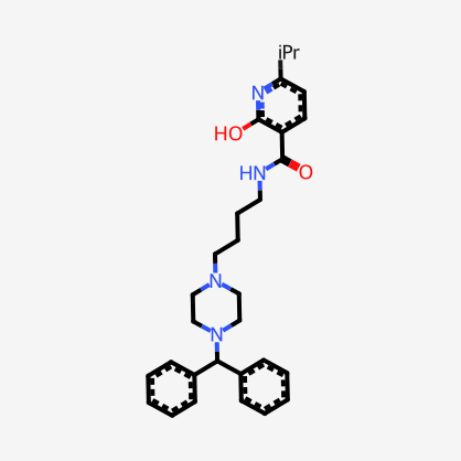 CC(C)c1ccc(C(=O)NCCCCN2CCN(C(c3ccccc3)c3ccccc3)CC2)c(O)n1